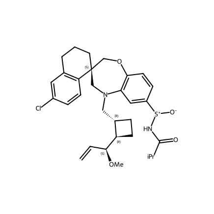 C=C[C@H](OC)[C@@H]1CC[C@H]1CN1C[C@@]2(CCCc3cc(Cl)ccc32)COc2ccc([S+]([O-])NC(=O)C(C)C)cc21